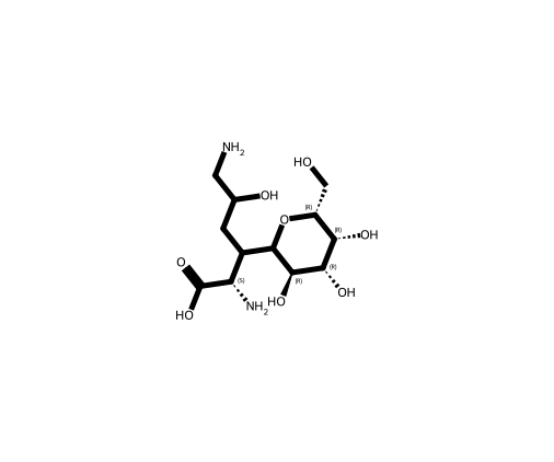 NCC(O)CC(C1O[C@H](CO)[C@H](O)[C@H](O)[C@H]1O)[C@H](N)C(=O)O